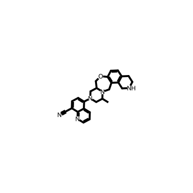 CC1CN(c2ccc(C#N)c3ncccc23)CC2COc3ccc4c(c3CN12)CNCC4